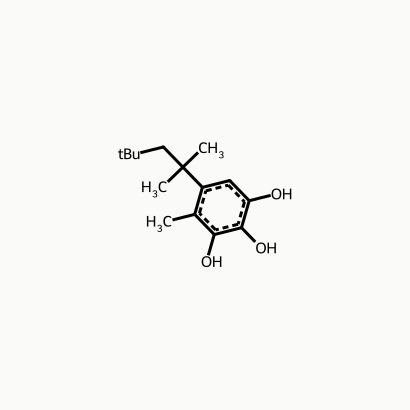 Cc1c(C(C)(C)CC(C)(C)C)cc(O)c(O)c1O